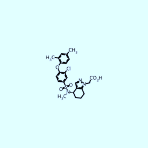 Cc1ccc(Oc2ccc(S(=O)(=O)N(C)[C@@H]3CCCc4c3cnn4CC(=O)O)cc2Cl)c(C)c1